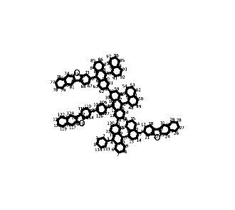 c1ccc(-c2c3ccccc3c(-c3ccc(-c4ccc5c(c4)oc4cc6ccccc6cc45)c4ccccc34)c3cc(-c4ccc5c(-c6cccc7ccccc67)c6ccc(-c7ccc8c(-c9ccc%10c(c9)oc9cc%11ccccc%11cc9%10)c9ccccc9c(-c9cccc%10ccccc9%10)c8c7)cc6c(-c6ccc(-c7ccc8c(c7)oc7cc9ccccc9cc78)cc6)c5c4)ccc23)cc1